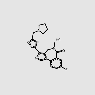 CN1Cc2c(-c3noc(CN4CCCC4)n3)ncn2-c2ccc(F)cc2C1=O.Cl